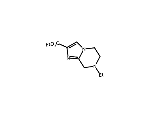 CCOC(=O)c1cn2c(n1)CN(CC)CC2